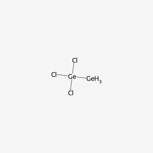 [Cl][Ge]([Cl])([Cl])[GeH3]